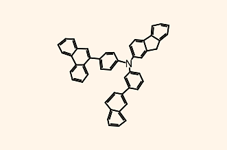 c1cc(-c2ccc3ccccc3c2)cc(N(c2ccc(-c3cc4ccccc4c4ccccc34)cc2)c2ccc3c(c2)Cc2ccccc2-3)c1